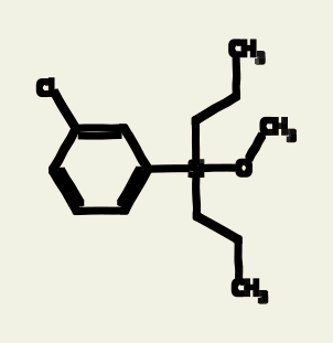 CCC[Si](CCC)(OC)c1cccc(Cl)c1